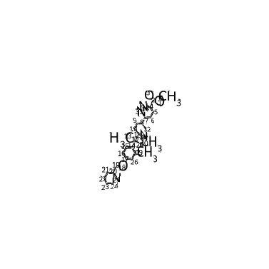 COC(=O)c1ccc(-c2ccc(C(C)(c3ccc(OCc4ccccn4)cc3)C(C)C)nc2)nn1